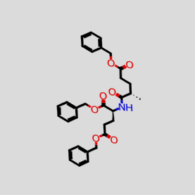 C[C@@H](CCC(=O)OCc1ccccc1)C(=O)N[C@@H](CCC(=O)OCc1ccccc1)C(=O)OCc1ccccc1